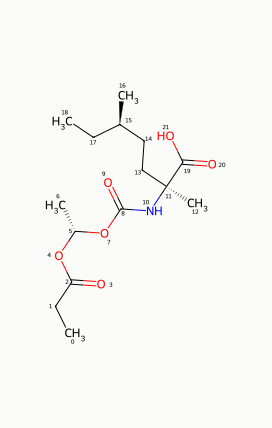 CCC(=O)O[C@H](C)OC(=O)N[C@@](C)(CC[C@H](C)CC)C(=O)O